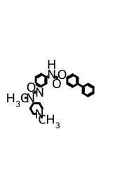 CN1CCC(N(C)c2nc3cc(NC(=O)Oc4ccc(-c5ccccc5)cc4)ccc3o2)CC1